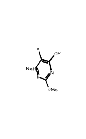 COc1ncc(F)c(O)n1.[NaH]